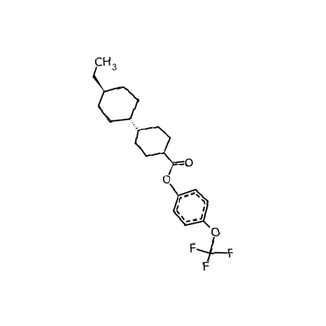 CC[C@H]1CC[C@H](C2CCC(C(=O)Oc3ccc(OC(F)(F)F)cc3)CC2)CC1